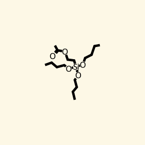 CCCCO[Si](CCOC(C)=O)(OCCCC)OCCCC